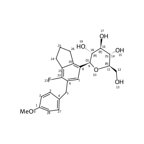 COc1ccc(Cc2cc([C@@H]3O[C@H](CO)[C@@H](O)[C@H](O)[C@H]3O)c3c(c2F)CCC3)cc1